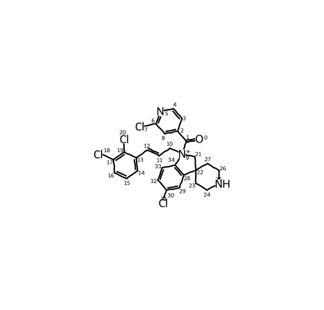 O=C(c1ccnc(Cl)c1)[N+]1(C/C=C/c2cccc(Cl)c2Cl)CC2(CCNCC2)c2cc(Cl)ccc21